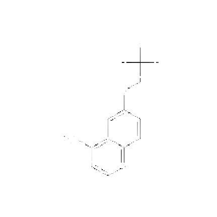 CC(C)(F)COc1ccc2nccc(C(=O)O)c2c1